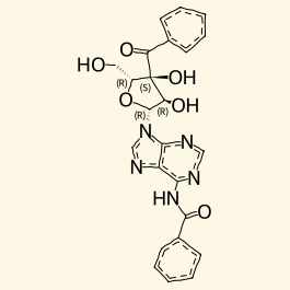 O=C(Nc1ncnc2c1ncn2[C@@H]1O[C@H](CO)[C@](O)(C(=O)c2ccccc2)[C@H]1O)c1ccccc1